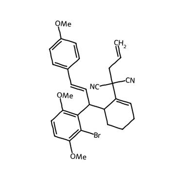 C=CCC(C#N)(C#N)C1=CCCCC1C(/C=C/c1ccc(OC)cc1)c1c(OC)ccc(OC)c1Br